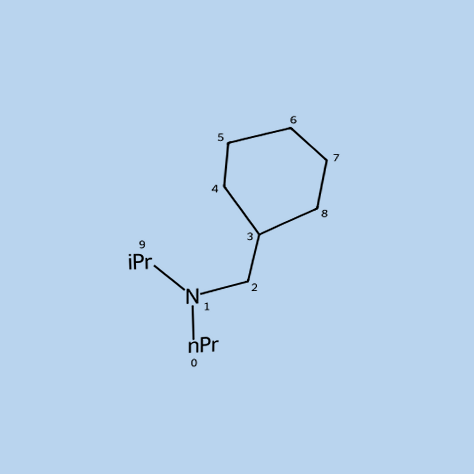 CCCN(CC1CCCCC1)C(C)C